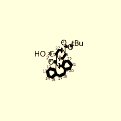 CC(C)(C)OC(=O)N1CCN(C(=O)N2c3ccccc3C=Cc3ccccc32)[C@H](C(=O)O)C1